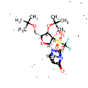 CC(C)(C)OC[C@H]1O[C@@H](n2cc3c(=O)n(c2=O)[SiH2]3)[C@](O)(S(=O)(=O)C(F)(F)F)[C@@H]1OC(C)(C)C